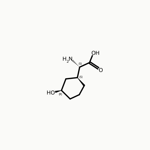 N[C@H](C(=O)O)[C@H]1CCC[C@@H](O)C1